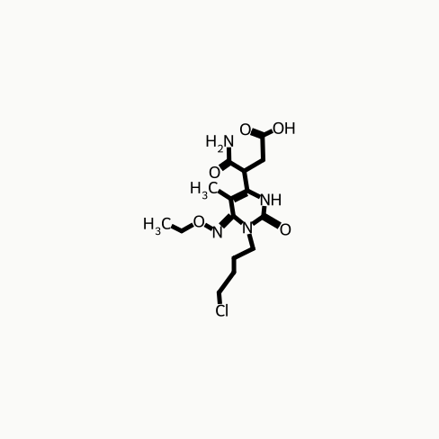 CCO/N=c1\c(C)c(C(CC(=O)O)C(N)=O)[nH]c(=O)n1CCCCCl